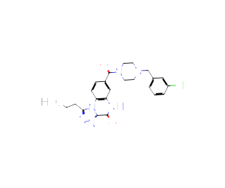 CCCc1nnc2c(=O)[nH]c3cc(C(=O)N4CCN(Cc5cccc(Cl)c5)CC4)ccc3n12